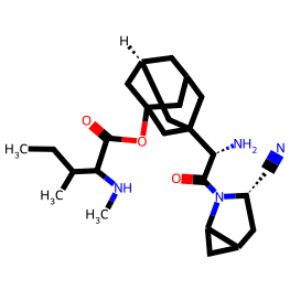 CCC(C)C(NC)C(=O)OC12CC3C[C@H](C1)CC([C@H](N)C(=O)N1C4CC4C[C@H]1C#N)(C3)C2